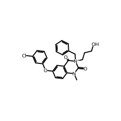 CN1C(=O)[N+](CCCO)(Cc2ccccc2)C(=O)c2cc(Oc3cccc(Cl)c3)ccc21